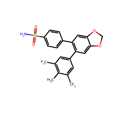 Cc1c(C(F)(F)F)cc(-c2cc3c(cc2-c2ccc(S(N)(=O)=O)cc2)OCO3)cc1C(F)(F)F